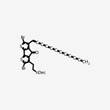 C=C=C=C=C=C=C=C=C=C=C=Cc1c(Br)sc2c1C(=O)c1c-2sc(Br)c1CCCCCCCCCCCC